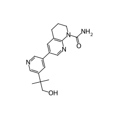 CC(C)(CO)c1cncc(-c2cnc3c(c2)CCCN3C(N)=O)c1